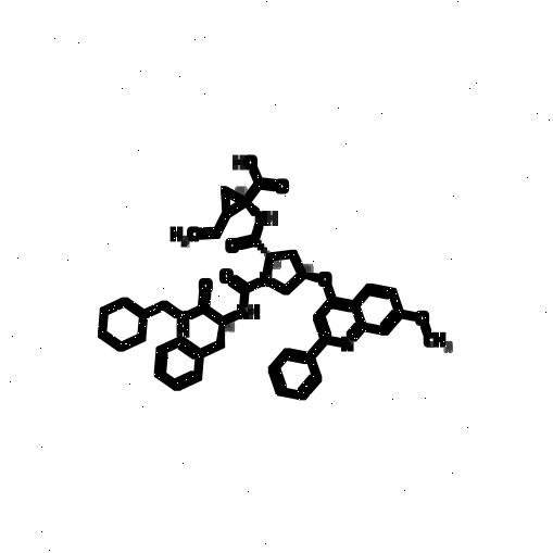 C=CC1C[C@]1(NC(=O)[C@@H]1C[C@@H](Oc2cc(-c3ccccc3)nc3cc(OC)ccc23)CN1C(=O)N[C@@H](Cc1ccccc1)C(=O)NCC1CCCCC1)C(=O)O